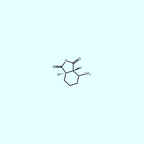 CC1CCC[C@H]2C(=O)OC(=O)[C@H]12